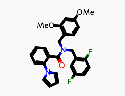 COc1ccc(CN(Cc2cc(F)ccc2F)C(=O)c2ccccc2-n2cccc2)c(OC)c1